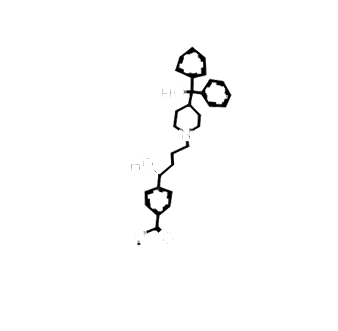 COC(=O)c1ccc([C@@H](O)CCCN2CCC(C(O)(c3ccccc3)c3ccccc3)CC2)cc1